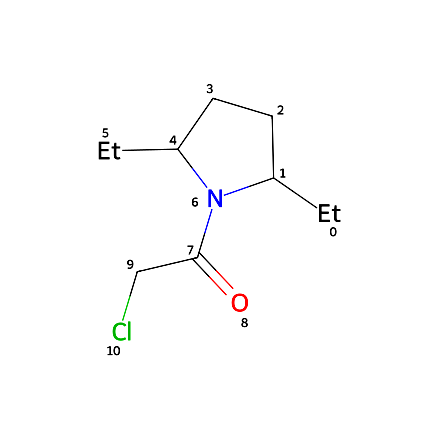 CCC1CCC(CC)N1C(=O)CCl